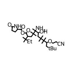 CCC(C)(C)C(CC(C)(C)C(C)(N)C(O)CC(C)(C)C(C)(C)C(CC(C)(C)C)OCCC#N)C(=O)OC(=O)C1CCC(=O)N1